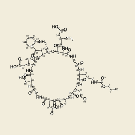 C=CCOC(=O)NCCCC1NC(=O)CNC(=O)C(NC(=O)C(N)CC(=O)O)C(C)OC(=O)C(CC(=O)c2ccccc2N)NC(=O)C(C(C)CC(=O)O)NC(=O)C(CO)NC(=O)CNC(=O)C(CC(=O)O)NC(=O)C(C)NC(=O)C(CC=O)NC1=O